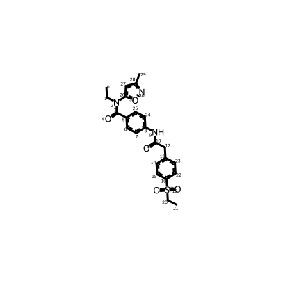 CCN(C(=O)c1ccc(NC(=O)Cc2ccc(S(=O)(=O)CC)cc2)cc1)c1cc(C)no1